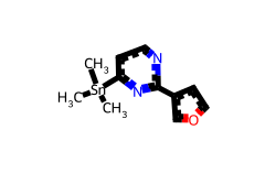 [CH3][Sn]([CH3])([CH3])[c]1ccnc(-c2ccoc2)n1